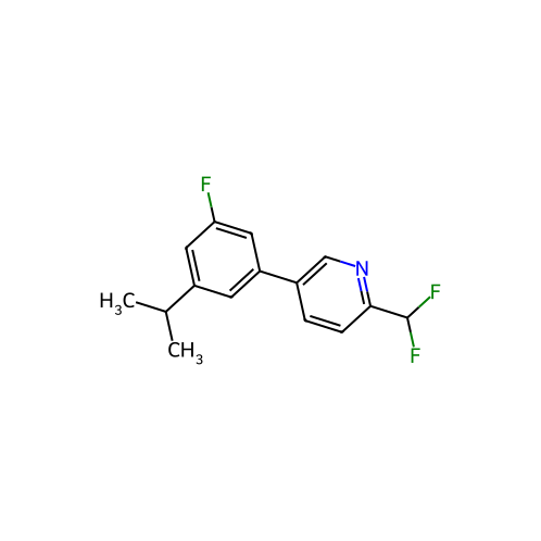 CC(C)c1cc(F)cc(-c2ccc(C(F)F)nc2)c1